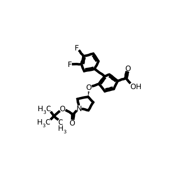 CC(C)(C)OC(=O)N1CC[C@@H](Oc2ccc(C(=O)O)cc2-c2ccc(F)c(F)c2)C1